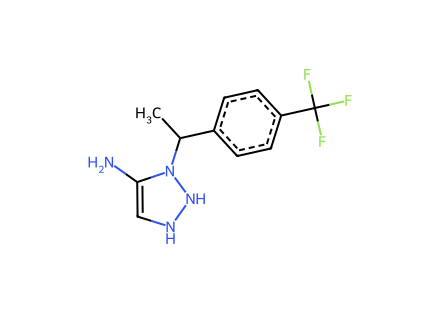 CC(c1ccc(C(F)(F)F)cc1)N1NNC=C1N